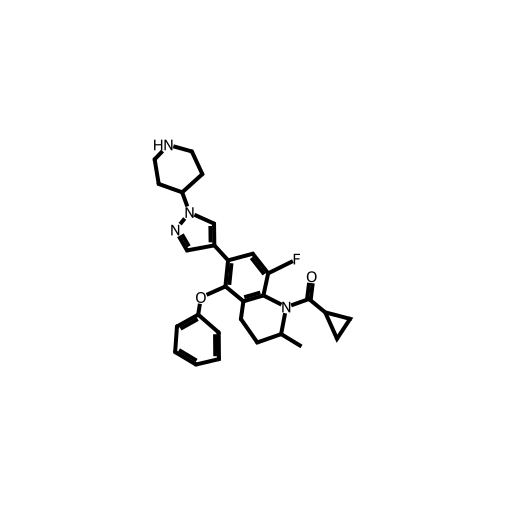 CC1CCc2c(Oc3ccccc3)c(-c3cnn(C4CCNCC4)c3)cc(F)c2N1C(=O)C1CC1